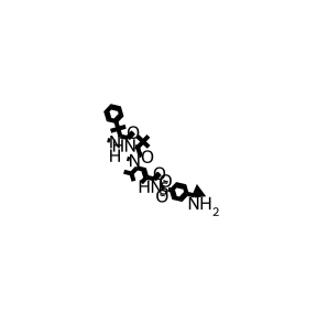 CNC(C(=O)NC(C(=O)N(C)C(/C=C(\C)C(=O)NS(=O)(=O)c1ccc(C2(N)CC2)cc1)C(C)C)C(C)(C)C)C(C)(C)c1ccccc1